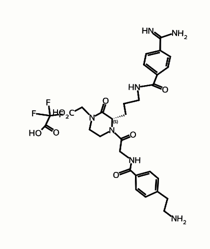 N=C(N)c1ccc(C(=O)NCCC[C@H]2C(=O)N(CC(=O)O)CCN2C(=O)CNC(=O)c2ccc(CCN)cc2)cc1.O=C(O)C(F)(F)F